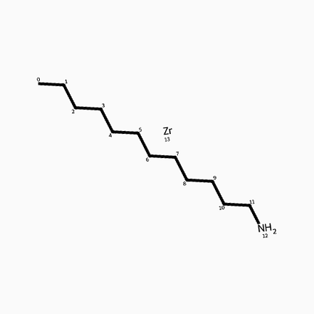 CCCCCCCCCCCCN.[Zr]